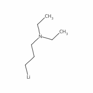 [Li][CH2]CCN(CC)CC